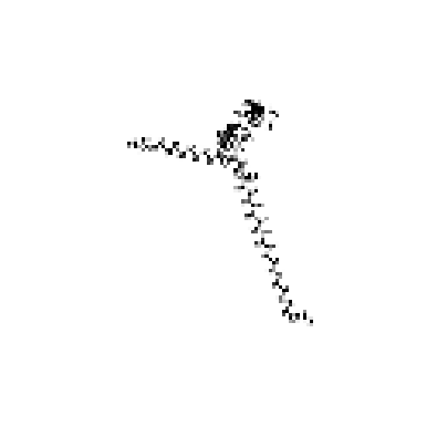 CCCCCCCCCCCCCCCCCCCCC(=O)OC[C@H](COP(=O)(O)OCC[N+](C)(C)C)OC(=O)CCCCCCCCCC